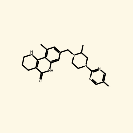 Cc1cc(CN2CCN(c3ncc(F)cn3)CC2C)cc2[nH]c(=O)c3c(c12)NCCC3